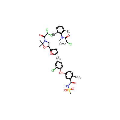 CC1(C)OC(c2ccco2)CN1C(=O)C(Cl)Cl.CCc1cccc(CC)c1N(COC)C(=O)CCl.CS(=O)(=O)NC(=O)c1cc(Oc2ccc(C(F)(F)F)cc2Cl)ccc1[N+](=O)[O-]